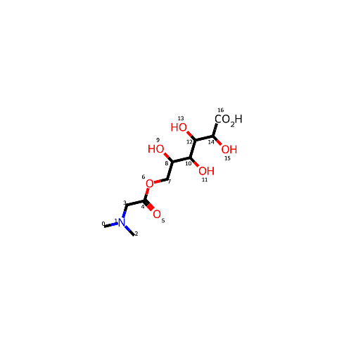 CN(C)CC(=O)OCC(O)C(O)C(O)C(O)C(=O)O